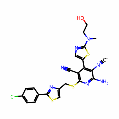 [C-]#[N+]c1c(N)nc(SCc2csc(-c3ccc(Cl)cc3)n2)c(C#N)c1-c1cnc(N(C)CCO)s1